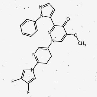 COc1cn(C2=CN=C(n3cc(F)c(F)c3)CC2)nc(-c2ccnn2-c2ccccc2)c1=O